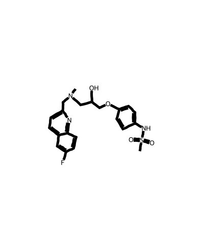 CN(Cc1ccc2cc(F)ccc2n1)CC(O)COc1ccc(NS(C)(=O)=O)cc1